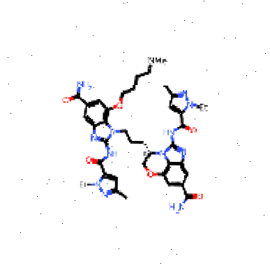 CCn1nc(C)cc1C(=O)Nc1nc2cc(C(N)=O)cc(OCCCCNC)c2n1CCC[C@H]1COc2cc(C(N)=O)cc3nc(NC(=O)c4cc(C)nn4CC)n1c23